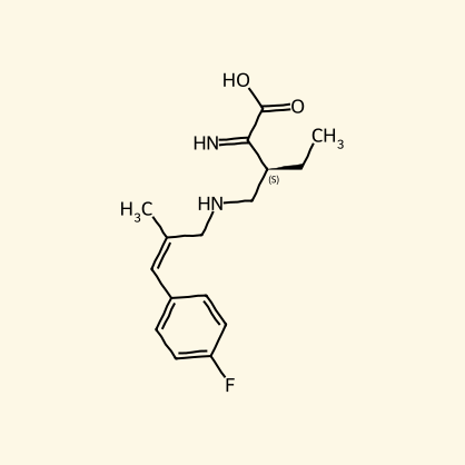 CC[C@@H](CNCC(C)=Cc1ccc(F)cc1)C(=N)C(=O)O